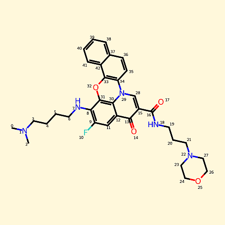 CN(C)CCCCNc1c(F)cc2c(=O)c(C(=O)NCCCN3CCOCC3)cn3c2c1Oc1c-3ccc2ccccc12